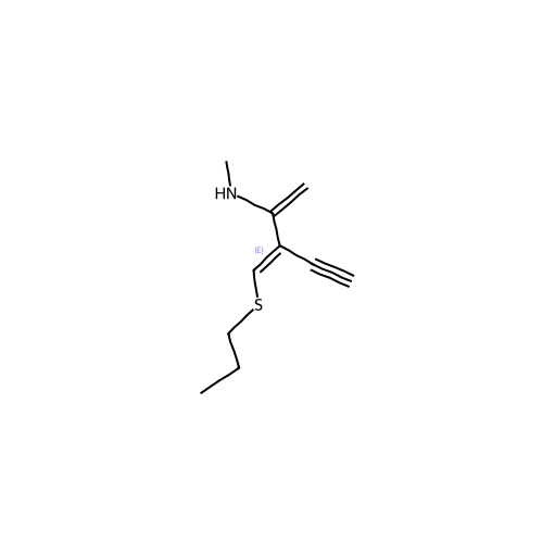 C#C/C(=C\SCCC)C(=C)NC